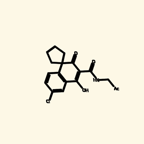 CC(=O)CNC(=O)C1=C(O)c2cc(Cl)ccc2C2(CCCC2)C1=O